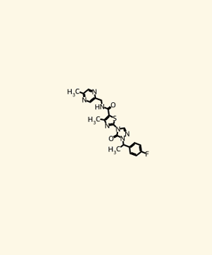 Cc1cnc(CNC(=O)c2sc(-n3cnn(C(C)c4ccc(F)cc4)c3=O)nc2C)cn1